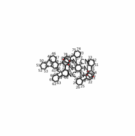 N#Cc1c(-n2c3ccccc3c3ccccc32)c(-n2c3ccccc3c3ccccc32)c(C#N)c(-n2c3cccc(-c4ccc5c6c(cccc46)-c4ccccc4-5)c3c3c4sc5ccccc5c4ccc32)c1-n1c2ccccc2c2ccccc21